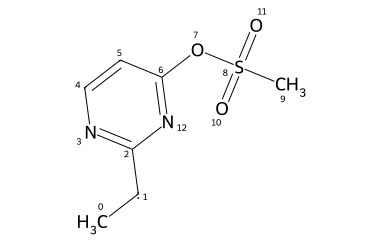 C[CH]c1nccc(OS(C)(=O)=O)n1